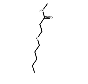 CCCCCOCCC(=O)NC